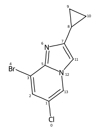 Clc1cc(Br)c2nc(C3CC3)cn2c1